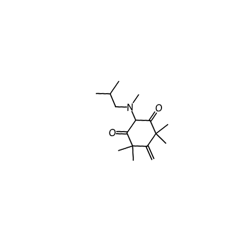 C=C1C(C)(C)C(=O)C(N(C)CC(C)C)C(=O)C1(C)C